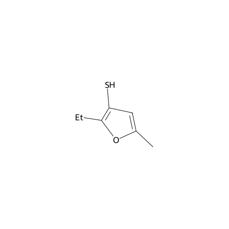 CCc1oc(C)cc1S